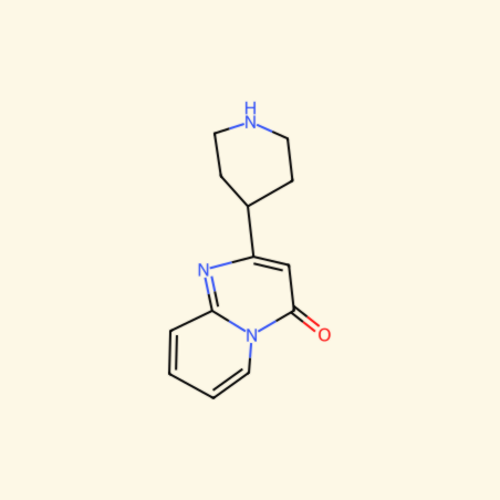 O=c1cc(C2CCNCC2)nc2ccccn12